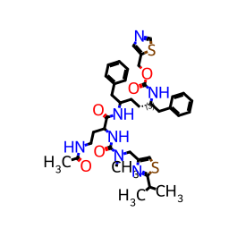 CC(=O)NCCC(NC(=O)N(C)Cc1csc(C(C)C)n1)C(=O)NC(CC[C@@H](Cc1ccccc1)NC(=O)OCc1cncs1)Cc1ccccc1